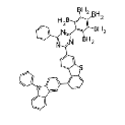 Bc1c(B)c(B)c(-c2nc(-c3ccccc3)nc(-c3ccc4c(c3)sc3cccc(-c5ccc6c(c5)c5ccccc5n6-c5ccccc5)c34)n2)c(B)c1B